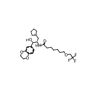 O=C(CCCCCCOCC(F)(F)F)N[C@H](CN1CCCC1)[C@H](O)c1ccc2c(c1)OCCO2